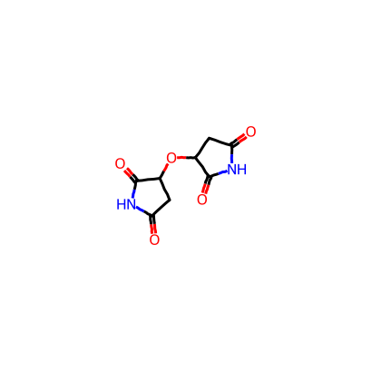 O=C1CC(OC2CC(=O)NC2=O)C(=O)N1